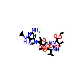 CCOC(=O)[C@@H](NP(=O)(N[C@H](C(=O)OCC)C(C)C)OC[C@H]1OC2(C)[C@@H](n3cnc4c(NC5CC5)nc(N)nc43)C2(O)C1O)C(C)C